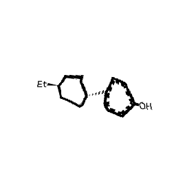 CC[C@H]1CC[C@H](c2ccc(O)cc2)CC1